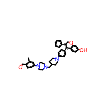 Cc1cc(N2CCN(CC3CCN(c4ccc([C@@H]5c6ccc(O)cc6OC[C@@H]5c5ccccc5)cc4)CC3)CC2)ccc1C=O